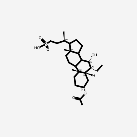 CC[C@H]1[C@@H](O)C2C3CCC([C@H](C)CCS(=O)(=O)O)[C@@]3(C)CCC2[C@@]2(C)CC[C@@H](OC(C)=O)C[C@@H]12